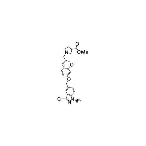 COC(=O)[C@H]1CCN(CC2=Cc3ccc(OCc4ccc5c(c4)c(Cl)nn5C(C)C)cc3OC2)C1